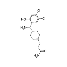 NC(=O)CCN1CCC(C(N)c2cc(Cl)c(Cl)cc2O)CC1